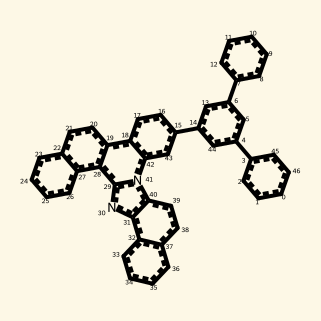 c1ccc(-c2cc(-c3ccccc3)cc(-c3ccc4c5ccc6ccccc6c5c5nc6c7ccccc7ccc6n5c4c3)c2)cc1